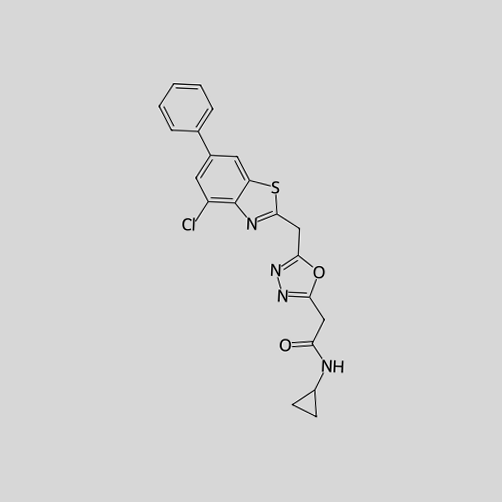 O=C(Cc1nnc(Cc2nc3c(Cl)cc(-c4ccccc4)cc3s2)o1)NC1CC1